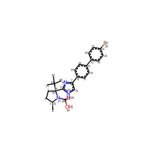 C[C@H]1CC[C@@](c2nc(-c3ccc(-c4ccc(Br)cc4)cc3)c[nH]2)(C(C)(C)C)N1C(=O)O